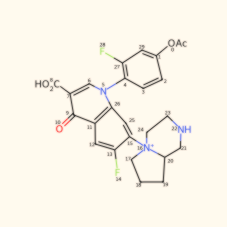 CC(=O)Oc1ccc(-n2cc(C(=O)O)c(=O)c3cc(F)c([N+]45CCCC4CNCC5)cc32)c(F)c1